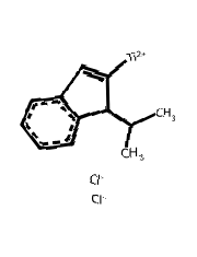 CC(C)C1[C]([Ti+2])=Cc2ccccc21.[Cl-].[Cl-]